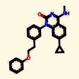 CNc1nc(=O)n(-c2cccc(CCOc3ccccc3)c2)c2cc(C3CC3)ccc12